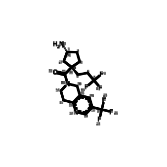 N[C@@H]1CC[C@](CCC(F)(F)F)(C(=O)N2CCc3ncc(C(F)(F)F)cc3C2)C1